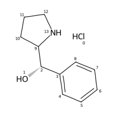 Cl.O[C@@H](c1ccccc1)C1CCCN1